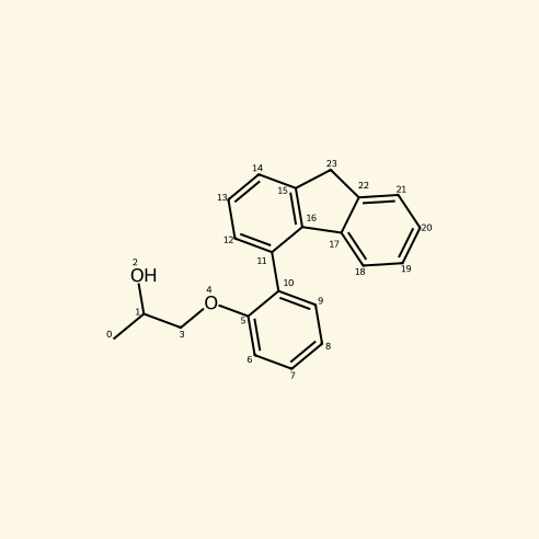 CC(O)COc1ccccc1-c1cccc2c1-c1ccccc1C2